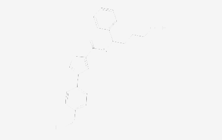 O=C(O)CCCC(NC(=O)c1cc(-c2ccc(OC(F)(F)F)cc2)cs1)c1ccccc1